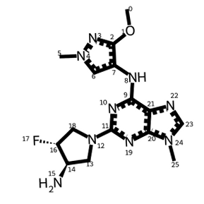 COc1nn(C)cc1Nc1nc(N2C[C@@H](N)[C@H](F)C2)nc2c1ncn2C